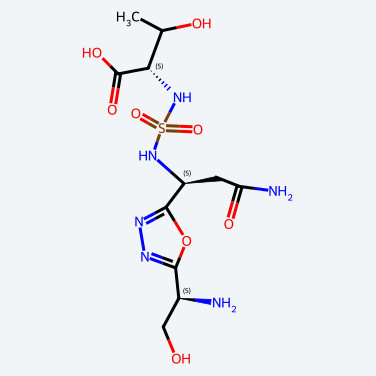 CC(O)[C@H](NS(=O)(=O)N[C@@H](CC(N)=O)c1nnc([C@@H](N)CO)o1)C(=O)O